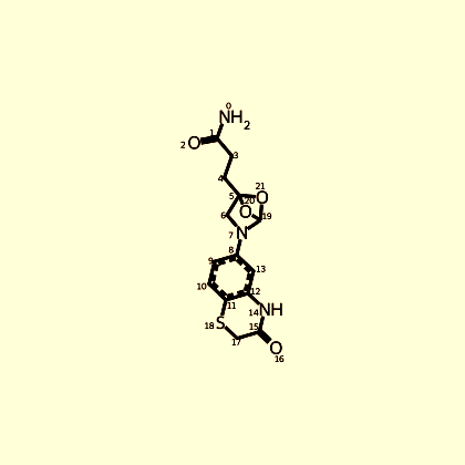 NC(=O)CCC12CN(c3ccc4c(c3)NC(=O)CS4)C(O1)O2